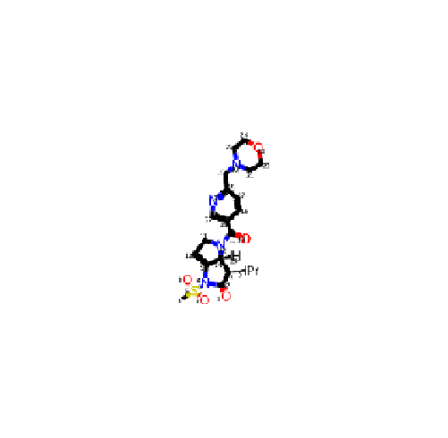 CC(C)[C@H]1C(=O)N(S(C)(=O)=O)C2=CCN(C(=O)c3ccc(CN4CCOCC4)nc3)[C@@H]21